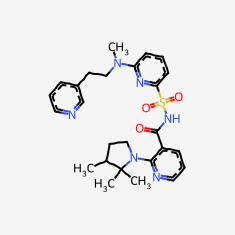 CC1CCN(c2ncccc2C(=O)NS(=O)(=O)c2cccc(N(C)CCc3cccnc3)n2)C1(C)C